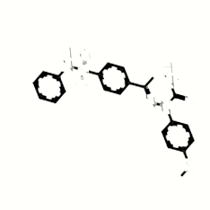 CSc1ccc(N(/N=C(\C)c2ccc(S(=O)(=O)Nc3ccccc3)cc2)C(N)=S)cc1